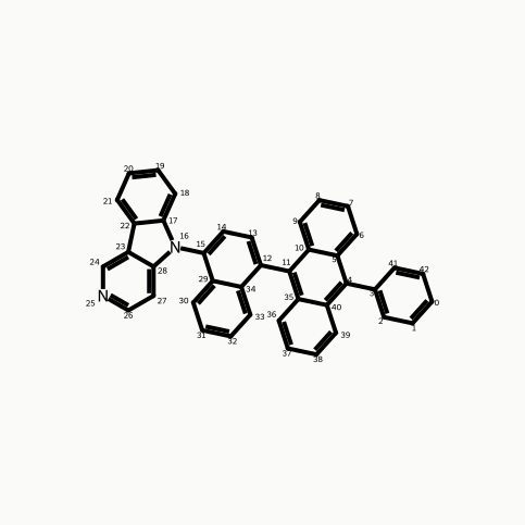 c1ccc(-c2c3ccccc3c(-c3ccc(-n4c5ccccc5c5cnccc54)c4ccccc34)c3ccccc23)cc1